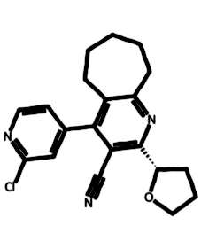 N#Cc1c([C@@H]2CCCO2)nc2c(c1-c1ccnc(Cl)c1)CCCCC2